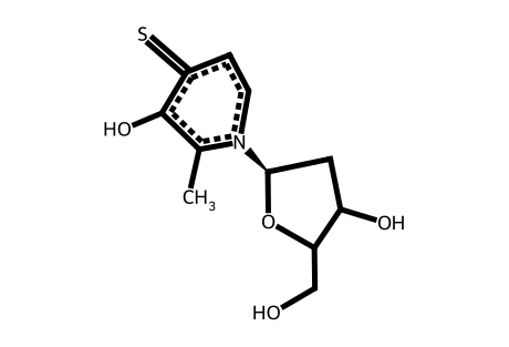 Cc1c(O)c(=S)ccn1[C@H]1CC(O)C(CO)O1